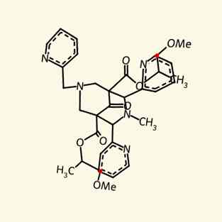 COCC(C)OC(=O)C12CN(Cc3ccccn3)CC(C(=O)OC(C)COC)(C1=O)C(c1ccccn1)N(C)C2c1ccccn1